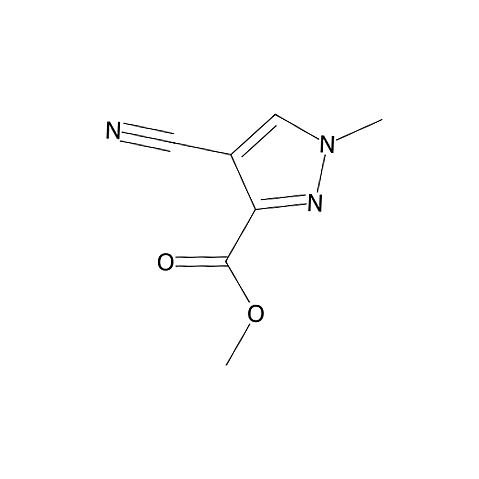 COC(=O)c1nn(C)cc1C#N